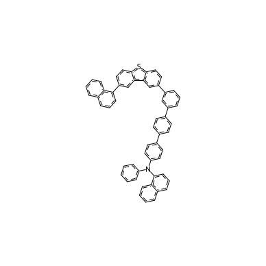 c1ccc(N(c2ccc(-c3ccc(-c4cccc(-c5ccc6sc7ccc(-c8cccc9ccccc89)cc7c6c5)c4)cc3)cc2)c2cccc3ccccc23)cc1